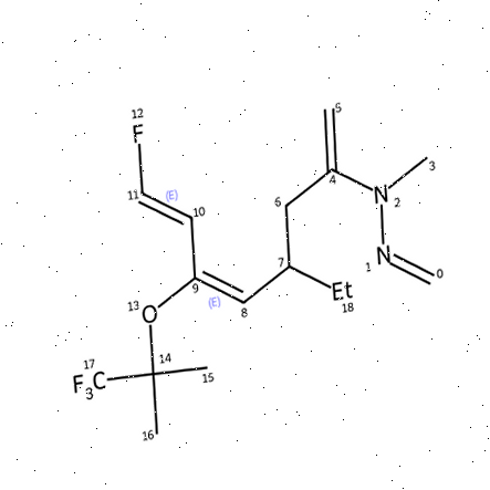 C=NN(C)C(=C)CC(/C=C(\C=C\F)OC(C)(C)C(F)(F)F)CC